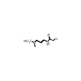 CN(CCCNC(=O)CCl)C(=O)O